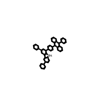 c1ccc(-c2ccc3[nH]c4c(-c5ccc(-c6c7ccccc7c(-c7ccccc7)c7ccccc67)cc5)cc(-c5ccccc5)cc4c3c2)cc1